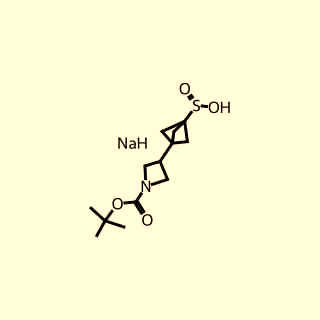 CC(C)(C)OC(=O)N1CC(C23CC(S(=O)O)(C2)C3)C1.[NaH]